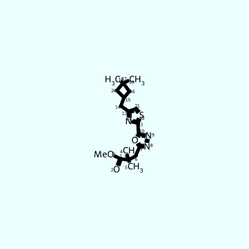 COC(=O)C(C)(C)Cc1nnc(-c2nc(CC3CC(C)(C)C3)cs2)o1